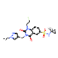 Cn1cc(Cn2c(=O)c3cc(S(=O)(=O)NC4(C)CC4)ccc3n(CCF)c2=O)cn1